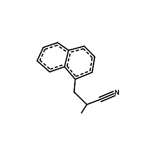 CC(C#N)Cc1cccc2ccccc12